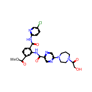 COC(=O)c1ccc(C(=O)Nc2ccc(Cl)cn2)c(NC(=O)c2cnc(N3CCCN(C(=O)CO)CC3)cn2)c1